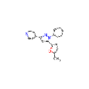 Cc1ccc(-c2cc(-c3ccncc3)nn2-c2ccccc2)o1